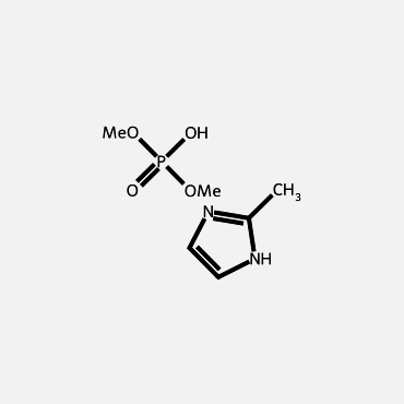 COP(=O)(O)OC.Cc1ncc[nH]1